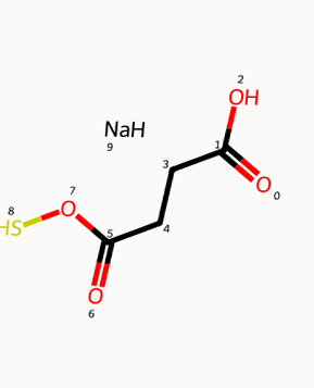 O=C(O)CCC(=O)OS.[NaH]